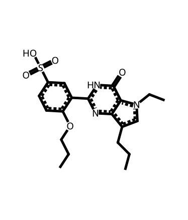 CCCOc1ccc(S(=O)(=O)O)cc1-c1nc2c(CCC)cn(CC)c2c(=O)[nH]1